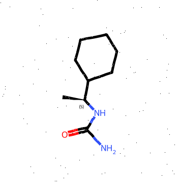 C[C@H](NC(N)=O)C1CCCCC1